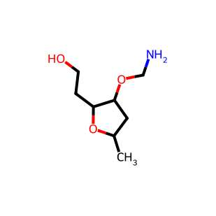 CC1CC(OCN)C(CCO)O1